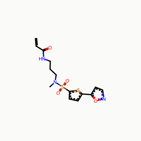 C=CC(=O)NCCCN(C)S(=O)(=O)c1ccc(-c2ccno2)s1